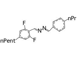 CCCCCc1cc(F)c(/C=N/N=C/c2ccc(CCC)cc2)c(F)c1